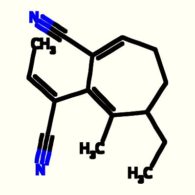 C/C=C(/C#N)C1=C(C)C(CC)CCC=C1C#N